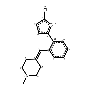 CN1CCC(=Cc2ccccc2-c2ccc(Cl)s2)CC1